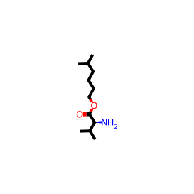 CC(C)CCCCOC(=O)[C@@H](N)C(C)C